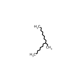 [CH2]CCCCCCCC(CC)CCCCCCC